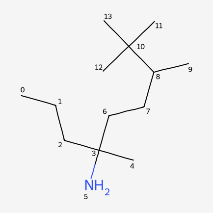 CCCC(C)(N)CCC(C)C(C)(C)C